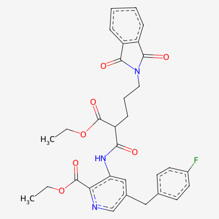 CCOC(=O)c1ncc(Cc2ccc(F)cc2)cc1NC(=O)C(CCCN1C(=O)c2ccccc2C1=O)C(=O)OCC